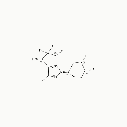 Cc1nn([C@@H]2CC[C@@H](F)[C@@H](F)C2)c2c1[C@H](O)C(F)(F)[C@@H]2F